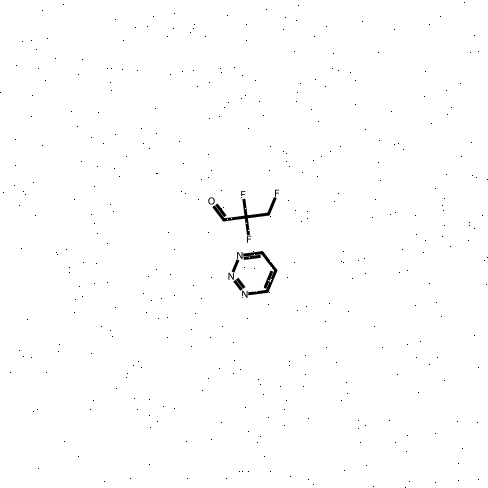 O=CC(F)(F)CF.c1cnnnc1